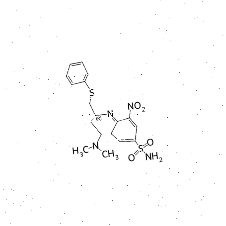 CN(C)CC[C@H](CSc1ccccc1)N=C1CC=C(S(N)(=O)=O)C=C1[N+](=O)[O-]